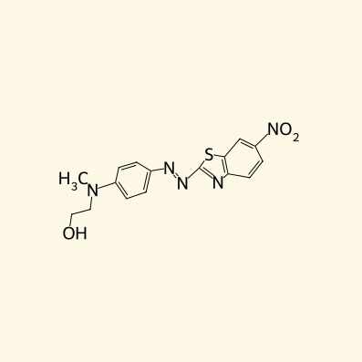 CN(CCO)c1ccc(N=Nc2nc3ccc([N+](=O)[O-])cc3s2)cc1